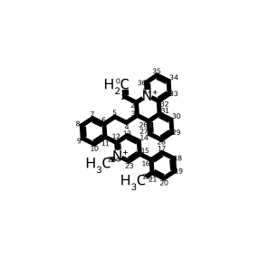 C=CC1C(CCc2ccccc2-c2ccc(-c3ccccc3C)c[n+]2C)c2ccccc2-c2cccc[n+]21